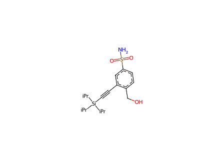 CC(C)[Si](C#Cc1cc(S(N)(=O)=O)ccc1CO)(C(C)C)C(C)C